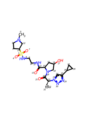 CN1CCC(S(=O)(=O)NCCNC(=O)C2CC(O)CN2C(=O)[C@@H](n2cc(C3CC3)nn2)C(C)(C)C)C1